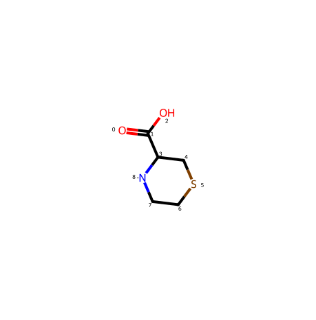 O=C(O)C1CSCC[N]1